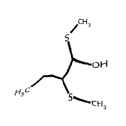 CCC(SC)C(O)SC